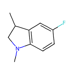 CC1CN(C)c2ccc(F)cc21